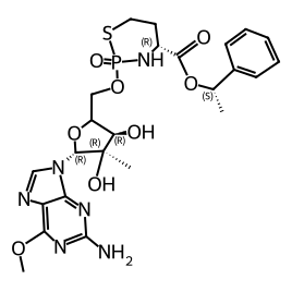 COc1nc(N)nc2c1ncn2[C@@H]1OC(COP2(=O)N[C@@H](C(=O)O[C@@H](C)c3ccccc3)CCS2)[C@@H](O)[C@@]1(C)O